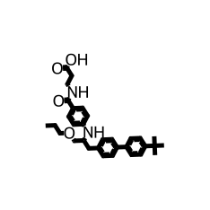 CCCOCC(Cc1ccc(-c2ccc(C(C)(C)C)cc2)cc1)Nc1ccc(C(=O)NCCC(=O)O)cc1